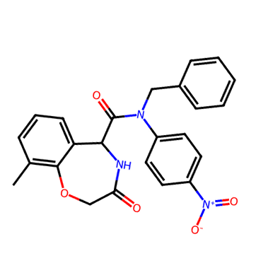 Cc1cccc2c1OCC(=O)NC2C(=O)N(Cc1ccccc1)c1ccc([N+](=O)[O-])cc1